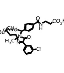 CCCCCC(c1ccc(C(=O)NCCC(=O)O)cc1)N1C(=O)C(c2cccc(Cl)c2)=NC1(C)CCC(C)C(C)(C)C